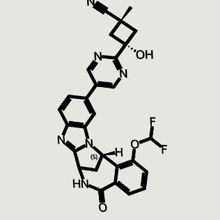 C[C@]1(C#N)C[C@](O)(c2ncc(-c3ccc4nc5n(c4c3)[C@H]3CC5NC(=O)c4cccc(OC(F)F)c43)cn2)C1